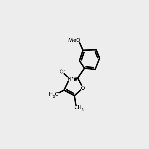 COc1cccc(-c2oc(C)c(C)[n+]2[O-])c1